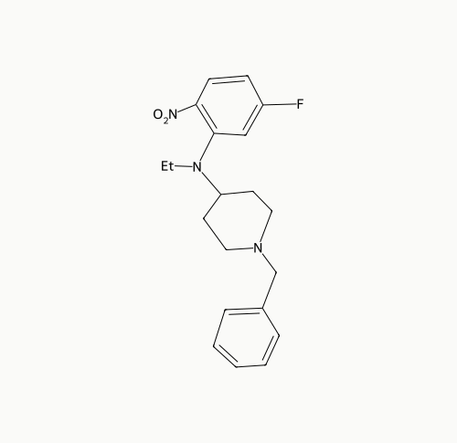 CCN(c1cc(F)ccc1[N+](=O)[O-])C1CCN(Cc2ccccc2)CC1